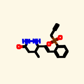 C#CCS(=O)(=O)c1ccccc1/C=C/C1NNC(=O)CC1C